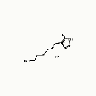 CCCCCCCCCCCCCC[n+]1cc[nH]c1C.[Cl-]